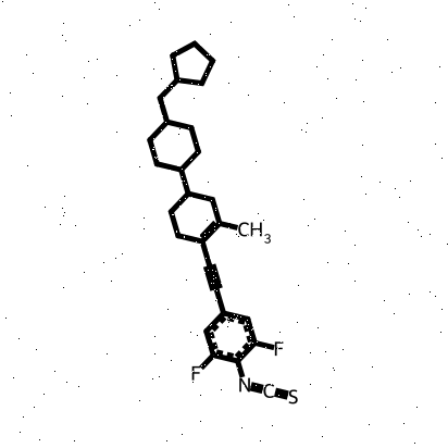 CC1=C(C#Cc2cc(F)c(N=C=S)c(F)c2)CCC(C2CCC(CC3CCCC3)CC2)C1